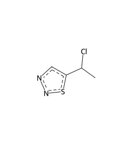 CC(Cl)c1cnns1